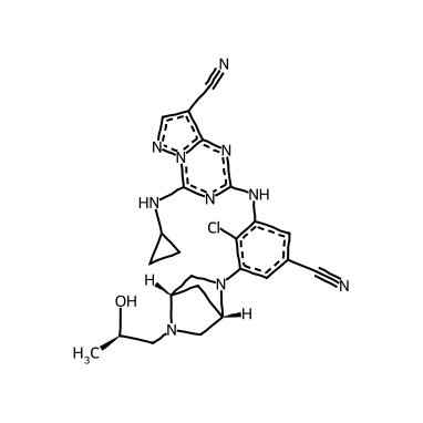 C[C@@H](O)CN1C[C@@H]2C[C@H]1CN2c1cc(C#N)cc(Nc2nc(NC3CC3)n3ncc(C#N)c3n2)c1Cl